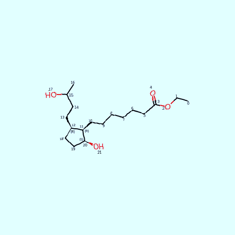 CCOC(=O)CCCCCC[C@@H]1[C@H](CCC(C)O)CC[C@@H]1O